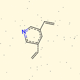 C=Cc1cncc(C=C)c1